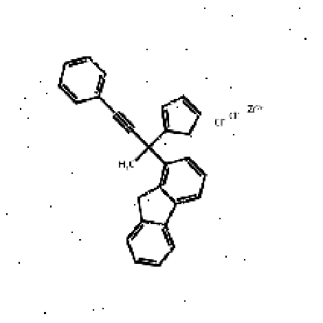 CC(C#Cc1ccccc1)(C1=CC=CC1)c1cccc2c1Cc1ccccc1-2.[Cl-].[Cl-].[Zr+2]